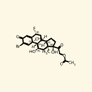 CC(=O)OCC(=O)[C@@]1(O)CC[C@H]2[C@@H]3C[C@@H](F)C4=CC(=O)C(Br)=C[C@]4(C)[C@H]3[C@H](O)C[C@@]21C